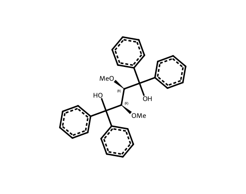 CO[C@H]([C@@H](OC)C(O)(c1ccccc1)c1ccccc1)C(O)(c1ccccc1)c1ccccc1